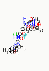 COC(O)N[C@H](C(=O)N1C[C@@H](OC)C[C@H]1c1nc(-c2ccc(-c3cc(Cl)c(NC(=O)c4ccc(N5CCN(C(=O)C(C)(C)C)C[C@H]5C)nc4)cc3OC(F)(F)F)cc2)c[nH]1)C(C)C